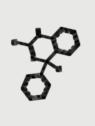 ClC1=NC(Cl)(c2ccccc2)c2ccccc2N1